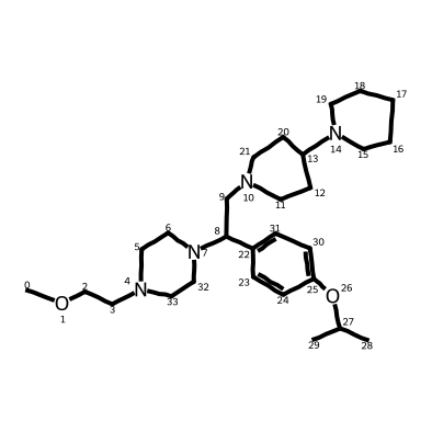 COCCN1CCN(C(CN2CCC(N3CCCCC3)CC2)c2ccc(OC(C)C)cc2)CC1